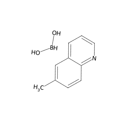 Cc1ccc2ncccc2c1.OBO